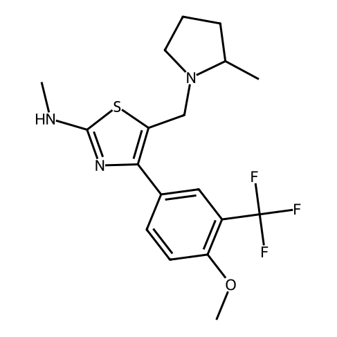 CNc1nc(-c2ccc(OC)c(C(F)(F)F)c2)c(CN2CCCC2C)s1